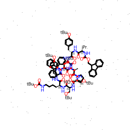 CC(C)[C@H](NC(=O)OCC1c2ccccc2-c2ccccc21)C(=O)N[C@@H](Cc1ccc(OC(C)(C)C)cc1)C(=O)N[C@@H](CC(=O)NC(c1ccccc1)(c1ccccc1)c1ccccc1)C(=O)NCC(=O)N[C@H](C(=O)N[C@@H](COC(C)(C)C)C(=O)N[C@@H](CCCCNC(=O)OC(C)(C)C)C(=O)N[C@@H](Cc1ccc(OC(C)(C)C)cc1)C(=O)N[C@@H](COC(C)(C)C)C(=O)N[C@@H](C)C(=O)N1CCC[C@H]1C(=O)O)[C@@H](C)OC(C)(C)C